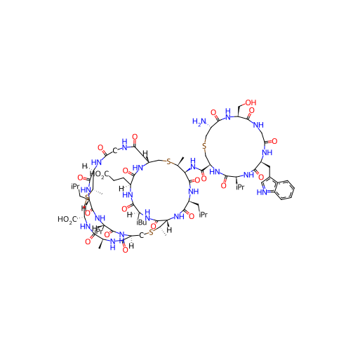 CCC(C)[C@@H]1NC(=O)[C@@H]2NC(=O)[C@H](CC(C)C)NC(=O)[C@H](NC(=O)[C@H]3CSC[C@H](N)C(=O)N[C@@H](CO)C(=O)NCC(=O)N[C@@H](Cc4c[nH]c5ccccc45)C(=O)N[C@@H](C(C)C)C(=O)N3)[C@H](C)SC[C@H](NC(=O)[C@H](CCC(=O)O)NC1=O)C(=O)NCC(=O)N[C@@H]1C(=O)N[C@@H](CC(C)C)C(=O)N[C@@H](C(C)C)C(=O)N[C@@H](CS[C@H]2C)C(=O)N[C@@H](C)C(=O)N[C@H](C(=O)O)CS[C@H]1C